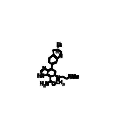 CC[C@@H]1C=Nc2cc(-c3cc(N(C)CCNC)c(C(N)=O)c4[nH]cnc34)ccc2C1